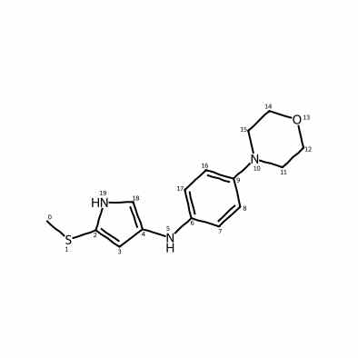 CSc1cc(Nc2ccc(N3CCOCC3)cc2)c[nH]1